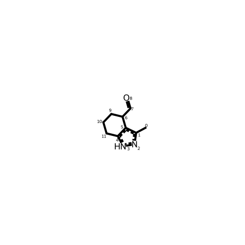 Cc1n[nH]c2c1C(C=O)CCC2